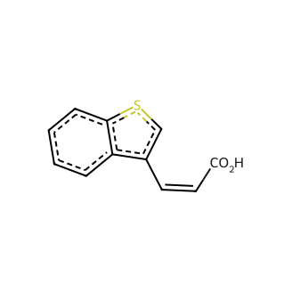 O=C(O)/C=C\c1csc2ccccc12